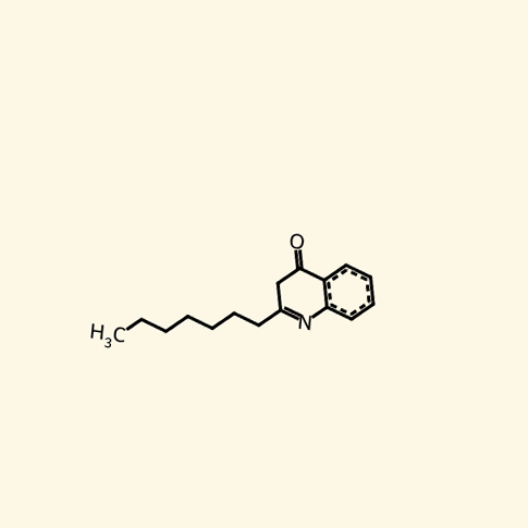 CCCCCCCC1=Nc2ccccc2C(=O)C1